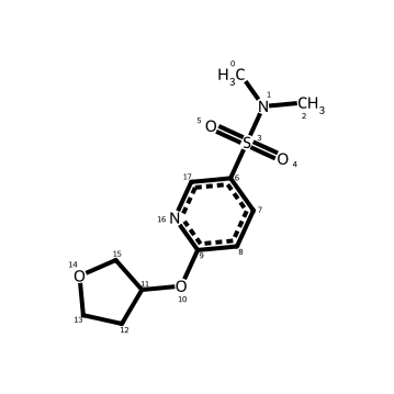 CN(C)S(=O)(=O)c1ccc(OC2CCOC2)nc1